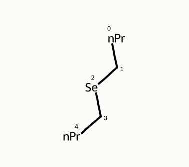 CCCC[Se]CCCC